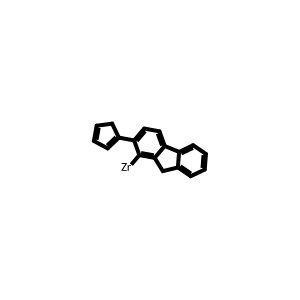 [Zr][c]1c(C2=CC=CC2)ccc2c1Cc1ccccc1-2